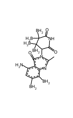 Bc1cc(N)c2c(=O)n(C3C(=O)NC(=O)C(B)(B)C3(B)B)c(C)nc2c1B